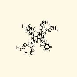 COCCN(CCOC)c1nc(N2CCN(C)C(=O)C2)c2nc(N(CCOC)CCOC)nc(NCc3ccccc3)c2n1